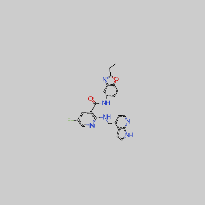 CCc1nc2cc(NC(=O)c3cc(F)cnc3NCc3ccnc4[nH]ccc34)ccc2o1